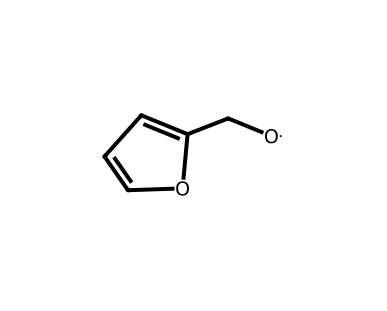 [O]Cc1ccco1